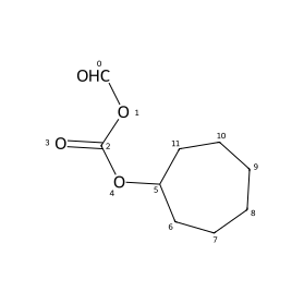 O=COC(=O)OC1CCCCCC1